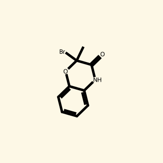 CC1(Br)Oc2ccccc2NC1=O